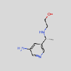 C[C@@H](NCCO)c1cncc(N)c1